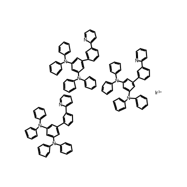 [Ir+3].c1ccc(N(c2ccccc2)c2cc(-c3cccc(-c4ccccn4)c3)cc(N(c3ccccc3)c3ccccc3)c2)cc1.c1ccc(N(c2ccccc2)c2cc(-c3cccc(-c4ccccn4)c3)cc(N(c3ccccc3)c3ccccc3)c2)cc1.c1ccc(N(c2ccccc2)c2cc(-c3cccc(-c4ccccn4)c3)cc(N(c3ccccc3)c3ccccc3)c2)cc1